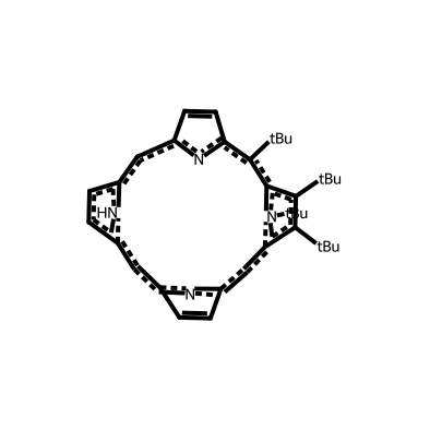 CC(C)(C)c1c(C(C)(C)C)c2c(C(C)(C)C)c3nc(cc4ccc(cc5nc(cc1n2C(C)(C)C)C=C5)[nH]4)C=C3